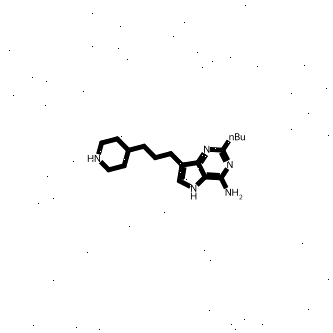 CCCCc1nc(N)c2[nH]cc(CCCC3CCNCC3)c2n1